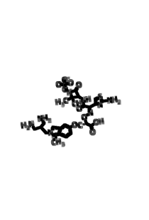 C[n+]1c2ccc(OC[C@H](O/N=C(\C(=O)NC3C(=O)N(OS(=O)(=O)[O-])C3(C)C)c3csc(N)n3)C(=O)O)cc2cn1CC(CN)CN